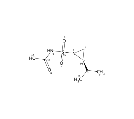 CC(C)[C@@H]1CN1S(=O)(=O)NC(=O)O